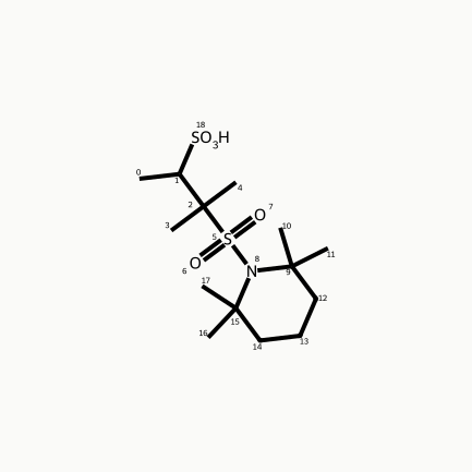 CC(C(C)(C)S(=O)(=O)N1C(C)(C)CCCC1(C)C)S(=O)(=O)O